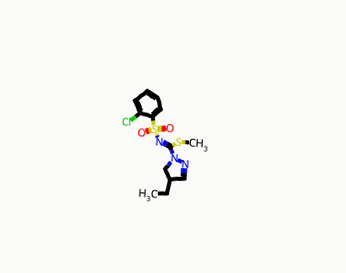 CCC1C=NN(C(=NS(=O)(=O)c2ccccc2Cl)SC)C1